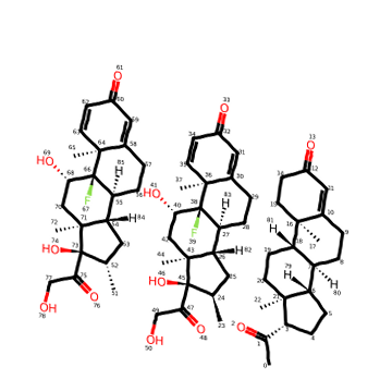 CC(=O)[C@H]1CC[C@H]2[C@@H]3CCC4=CC(=O)CC[C@]4(C)[C@H]3CC[C@]12C.C[C@@H]1C[C@H]2[C@@H]3CCC4=CC(=O)C=C[C@]4(C)[C@@]3(F)[C@@H](O)C[C@]2(C)[C@@]1(O)C(=O)CO.C[C@H]1C[C@H]2[C@@H]3CCC4=CC(=O)C=C[C@]4(C)[C@@]3(F)[C@@H](O)C[C@]2(C)[C@@]1(O)C(=O)CO